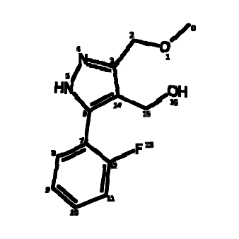 COCc1n[nH]c(-c2ccccc2F)c1CO